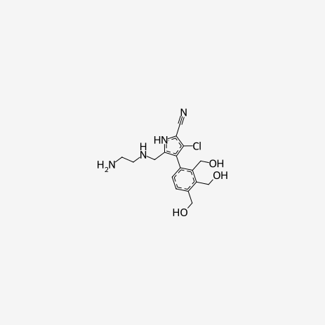 N#Cc1[nH]c(CNCCN)c(-c2ccc(CO)c(CO)c2CO)c1Cl